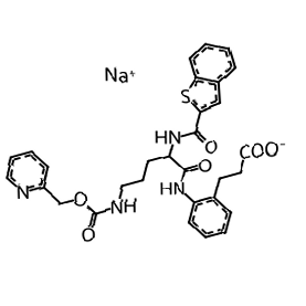 O=C([O-])CCc1ccccc1NC(=O)C(CCCNC(=O)OCc1ccccn1)NC(=O)c1cc2ccccc2s1.[Na+]